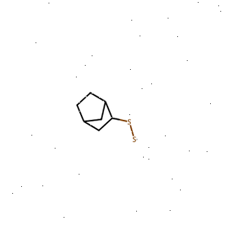 [S]SC1CC2CCC1C2